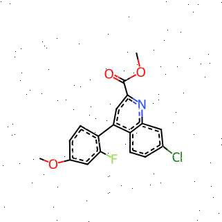 COC(=O)c1cc(-c2ccc(OC)cc2F)c2ccc(Cl)cc2n1